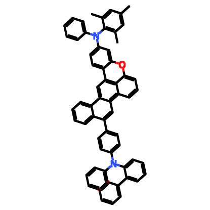 Cc1cc(C)c(N(c2ccccc2)c2ccc3c(c2)Oc2cccc4c2c-3cc2c3ccccc3c(-c3ccc(N(c5ccccc5)c5ccccc5-c5ccccc5)cc3)cc42)c(C)c1